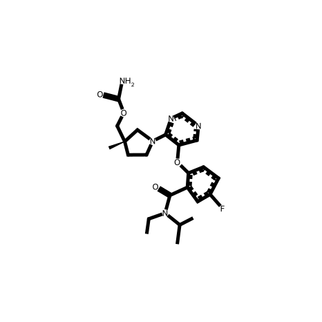 CCN(C(=O)c1cc(F)ccc1Oc1cncnc1N1CC[C@](C)(COC(N)=O)C1)C(C)C